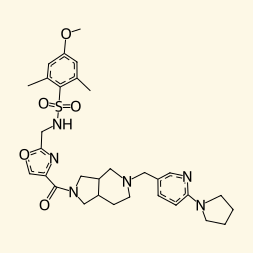 COc1cc(C)c(S(=O)(=O)NCc2nc(C(=O)N3CC4CCN(Cc5ccc(N6CCCC6)nc5)CC4C3)co2)c(C)c1